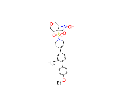 CCOc1ccc(-c2ccc(C3=CCN(S(=O)(=O)C4(C(=O)NO)CCOCC4)CC3)cc2C)cc1